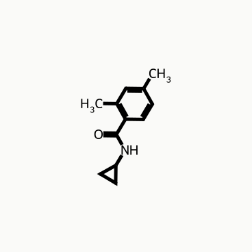 Cc1ccc(C(=O)NC2CC2)c(C)c1